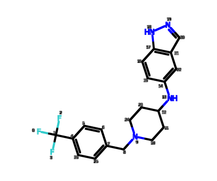 FC(F)(F)c1ccc(CN2CCC(Nc3ccc4[nH]ncc4c3)CC2)cc1